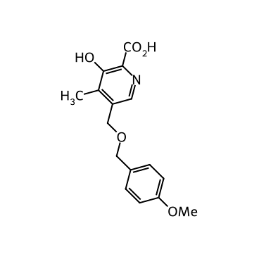 COc1ccc(COCc2cnc(C(=O)O)c(O)c2C)cc1